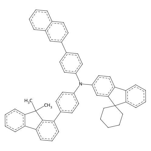 CC1(C)c2ccccc2-c2cccc(-c3ccc(N(c4ccc(-c5ccc6ccccc6c5)cc4)c4ccc5c(c4)C4(CCCCC4)c4ccccc4-5)cc3)c21